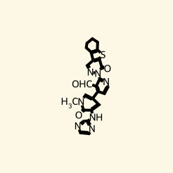 Cn1cc(-c2ccnc(-n3ncc4c5c(sc4c3=O)CCCC5)c2C=O)cc(Nc2cnccn2)c1=O